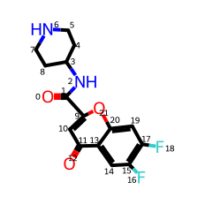 O=C(NC1CCNCC1)c1cc(=O)c2cc(F)c(F)cc2o1